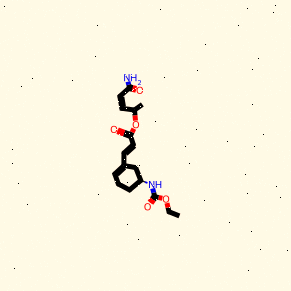 CCOC(=O)N[C@@H]1CCC=C(/C=C/C(=O)OC(C)/C=C\C(N)=O)C1